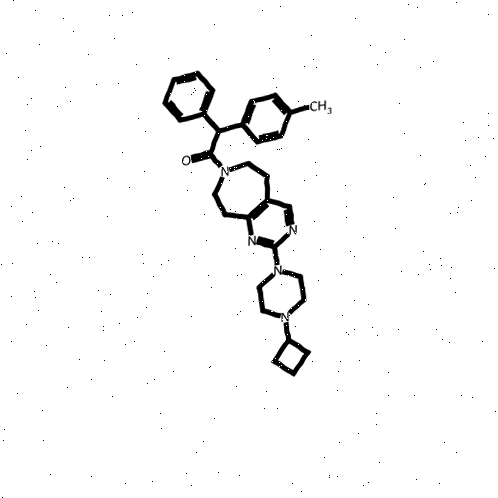 Cc1ccc(C(C(=O)N2CCc3cnc(N4CCN(C5CCC5)CC4)nc3CC2)c2ccccc2)cc1